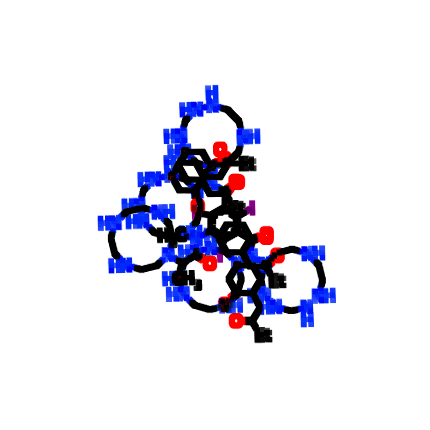 CCC(=O)CC1C(=O)CCCC12NNCNNCCNCCN2N(C(=O)c1c(I)c(C(=O)N(N2CCNCCNNCNNC23CCCC(=O)C3CC(=O)CC)N2CCNCCNNCNNC23CCCC(=O)C3CC(=O)CC)c(I)c(N(C)C(=O)C(C)N2CCNCCNCCNCC2)c1I)N1CCNCCNNCNNC12CCCC(=O)C2CC(=O)CC